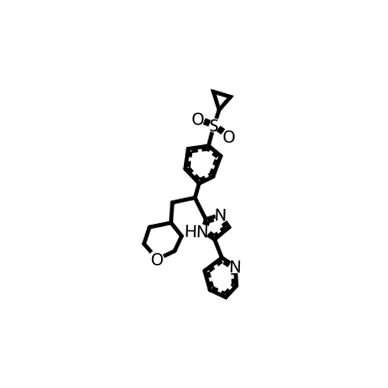 O=S(=O)(c1ccc(C(CC2CCOCC2)c2ncc(-c3ccccn3)[nH]2)cc1)C1CC1